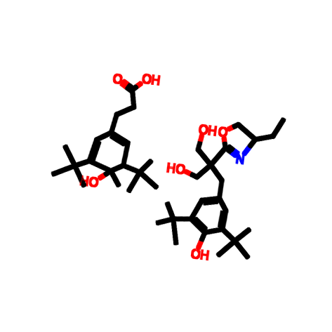 CC(C)(C)C1=CC(CCC(=O)O)=CC(C(C)(C)C)C1(C)O.CCC1COC(C(CO)(CO)Cc2cc(C(C)(C)C)c(O)c(C(C)(C)C)c2)=N1